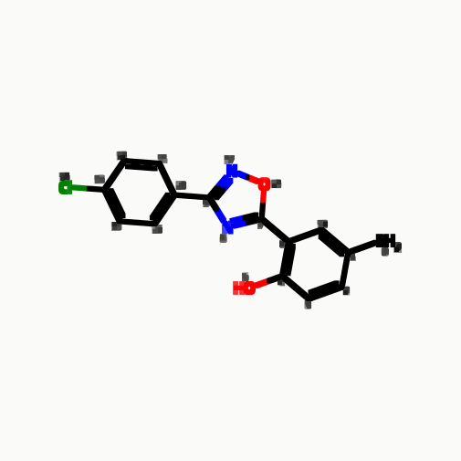 Bc1ccc(O)c(-c2nc(-c3ccc(Cl)cc3)no2)c1